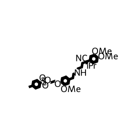 COc1ccc([C@](C#N)(CCCNCCc2ccc(OCCOS(=O)(=O)c3ccc(C)cc3)c(OC)c2)C(C)C)cc1OC